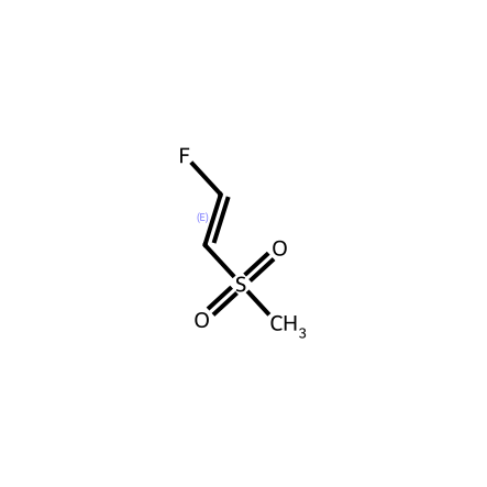 CS(=O)(=O)/C=C/F